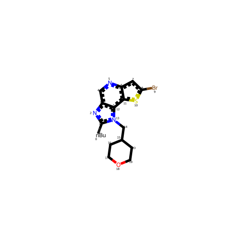 CCCCc1nc2cnc3cc(Br)sc3c2n1CC1CCOCC1